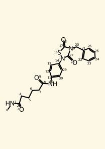 CNC(=O)CCCCC(=O)Nc1ccc(-n2sc(=O)n(Cc3ccccc3)c2=O)cc1